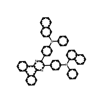 c1ccc(N(c2ccc(-c3nc4c5ccccc5c5ccccc5c4nc3-c3ccc(N(c4ccccc4)c4cccc5ccccc45)cc3)cc2)c2ccc3ccccc3c2)cc1